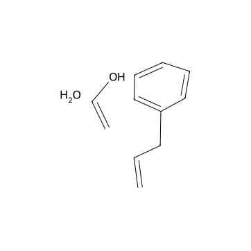 C=CCc1ccccc1.C=CO.O